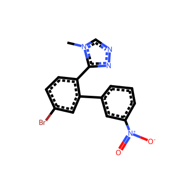 Cn1cnnc1-c1ccc(Br)cc1-c1cccc([N+](=O)[O-])c1